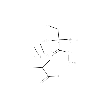 CC(=O)O.CC(=O)O.CC(C)C(=O)O.CCCCCCCC(CCCCCC)(CC(C)C)C(=O)OCCCCC